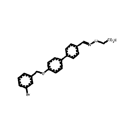 O=C(O)CON=Cc1ccc(-c2ccc(OCc3cccc(Br)c3)cc2)cc1